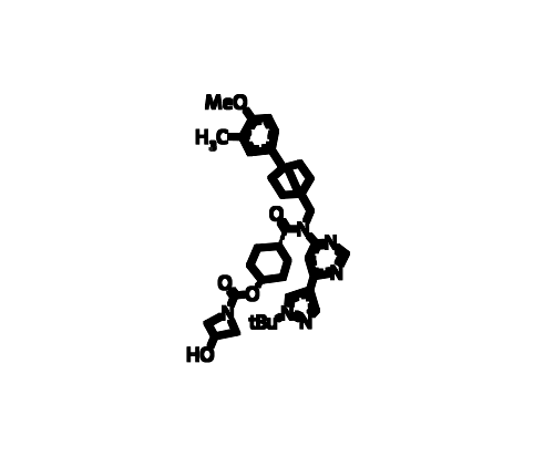 COc1ccc(C23CCC(CN(c4cc(-c5cnn(C(C)(C)C)c5)ncn4)C(=O)[C@H]4CC[C@H](OC(=O)N5CC(O)C5)CC4)(CC2)CC3)cc1C